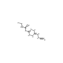 CCOC(=O)CN1CCN(CCN)CC1